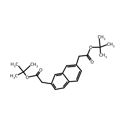 CC(C)(C)OC(=O)Cc1ccc2ccc(CC(=O)OC(C)(C)C)cc2c1